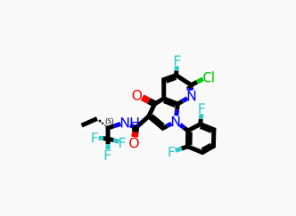 CC[C@H](NC(=O)c1cn(-c2c(F)cccc2F)c2nc(Cl)c(F)cc2c1=O)C(F)(F)F